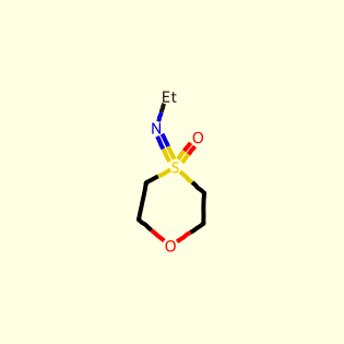 CCN=S1(=O)CCOCC1